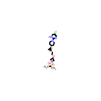 CC(C)S(=O)(=O)N1CC(OCC[C@@H]2C[C@@H]2C2CCN(C3=NC=C(Cl)CN3)CC2)C1